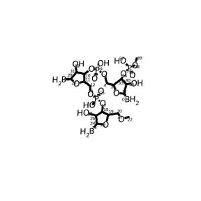 BC1OC(COP(=O)(O)OC2C(COP(=O)(O)OC3C(COC)OC(B)C3O)OC(B)C2O)C(OP(=O)(O)OC)C1O